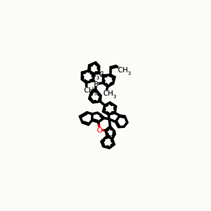 C/C=C\c1ccc(C)c(B(c2cccc(-c3ccc4c(c3)C3(C5=CCCC=C54)C4=CCC5C=CC=CC5=C4Oc4c3ccc3ccccc43)c2)c2c(C)ccc3ccccc23)c1C